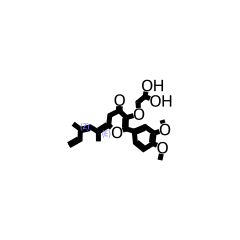 C=C/C(C)=C\C(C)=C1/CC(=O)C(OCC(O)O)=C(c2ccc(OC)c(OC)c2)O1